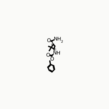 CC1(C)[C@@H](C(N)=O)C[C@H]1NC(=O)OCc1ccccc1